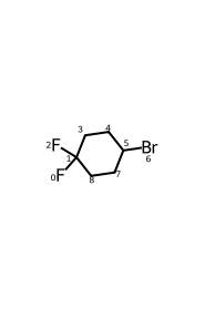 FC1(F)CCC(Br)CC1